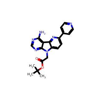 CC(C)(C)OC(=O)Cn1c2ccc(-c3ccncc3)nc2c2c(N)ncnc21